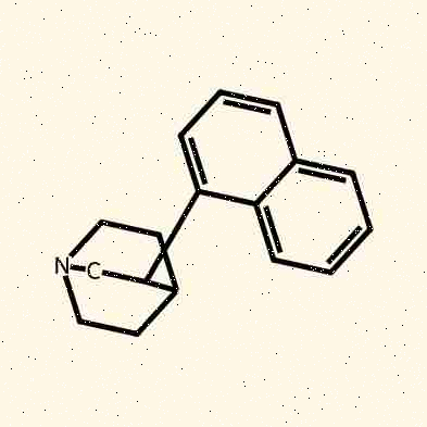 c1ccc2c(C3CN4CCC3CC4)cccc2c1